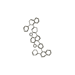 C1=CCCC(c2ccc3ccccc3c2-c2ccc3c(c2)Oc2ccc4c5c(ccc-3c25)C2=C(C=C(C3=c5ccccc5=CCC3c3ccccc3)CC2)O4)=C1